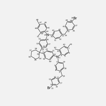 Cc1ccc(N(c2ccc(Cc3ccc(Br)cc3)cc2)c2ccc(C3(c4ccc(N(c5ccc(Cc6ccc(Br)cc6)cc5)c5ccc(C)cc5C)cc4)CCCCC3)cc2)c(C)c1